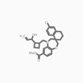 C=CC(O)C1CCC1CN1CC2(CCCc3cc(Cl)ccc32)COc2ccc(C(=O)OC)cc21